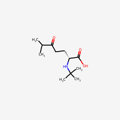 CC(C)C(=O)CC[C@@H](NC(C)(C)C)C(=O)O